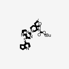 C[C@H]1CC2(CCN(c3ncc(Sc4ccnc5c4CCC5)c4nccn34)CC2NC(=O)OC(C)(C)C)CO1